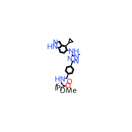 COC(=O)[C@H](CC(C)C)NC(=O)c1ccc(-c2nc(Nc3ccc4[nH]ncc4c3C3CC3)n(C)n2)cc1